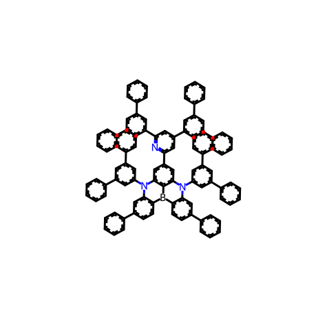 c1ccc(-c2cc(-c3ccccc3)cc(-c3cc(-c4cc(-c5ccccc5)cc(-c5ccccc5)c4)nc(-c4cc5c6c(c4)N(c4cc(-c7ccccc7)cc(-c7ccccc7)c4)c4cc(-c7ccccc7)ccc4B6c4ccc(-c6ccccc6)cc4N5c4cc(-c5ccccc5)cc(-c5ccccc5)c4)c3)c2)cc1